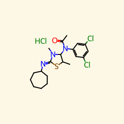 CC(=O)N(c1cc(Cl)cc(Cl)c1)C1C(C)SC(=NC2CCCCCC2)N1C.Cl